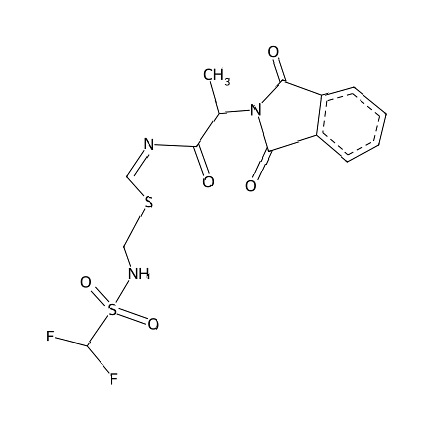 CC(C(=O)/N=C\SCNS(=O)(=O)C(F)F)N1C(=O)c2ccccc2C1=O